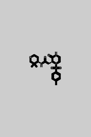 Cc1ccc(S(=O)(=O)N2C=CNC(=O)[C@H]2CC(=O)N[C@H]2CCOCC2(C)C)cc1